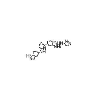 C=C(Nc1ccncn1)c1cc2ccc(-c3nccc(Nc4ccc5[nH]ncc5c4)n3)cc2[nH]1